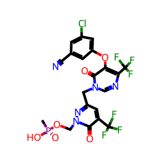 CP(=O)(O)OCn1nc(Cn2cnc(C(F)(F)F)c(Oc3cc(Cl)cc(C#N)c3)c2=O)cc(C(F)(F)F)c1=O